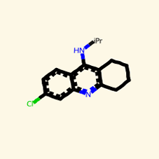 CC(C)Nc1c2c(nc3cc(Cl)ccc13)CCCC2